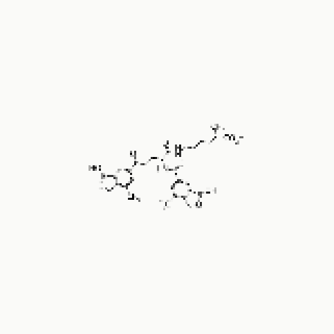 C[C@@H](CCCCNC(=O)[C@H](CCC(=O)c1cc2c(c(C(F)(F)F)c1)COB2O)NC(=O)c1cc2c(c(C(F)(F)F)c1)COB2O)C(=O)O